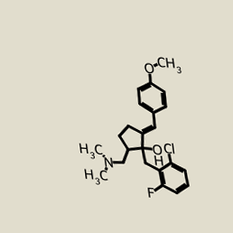 COc1ccc(/C=C2\CCC(CN(C)C)C2(O)Cc2c(F)cccc2Cl)cc1